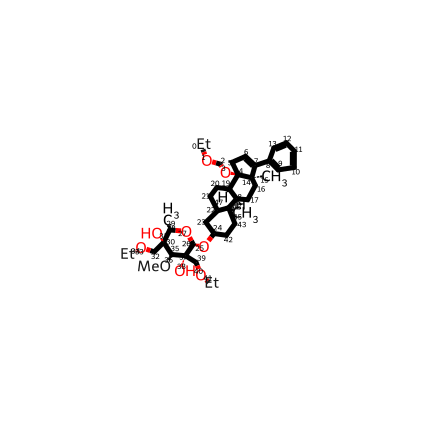 CCOCO[C@@]12CC=C(c3ccccc3)[C@@]1(C)CC[C@@H]1[C@H]2CCC2CC(O[C@@H]3O[C@H](C)[C@](O)(COCC)[C@H](OC)[C@]3(O)COCC)CC[C@@]21C